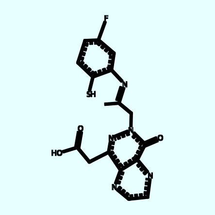 C/C(Cn1nc(CC(=O)O)c2nccnc2c1=O)=N\c1cc(F)ccc1S